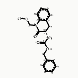 CCOCN1C(=O)[C@@H](NC(=O)OCc2ccccc2)Cc2ccccc21